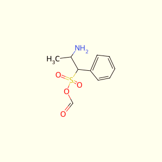 CC(N)C(c1ccccc1)S(=O)(=O)OC=O